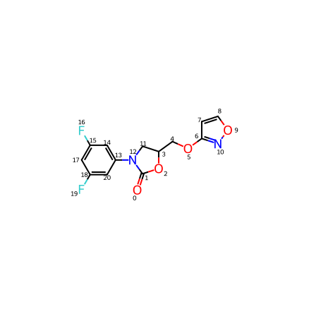 O=C1OC(COc2ccon2)CN1c1cc(F)cc(F)c1